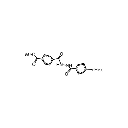 CCCCCCc1ccc(C(=O)NNC(=O)c2ccc(C(=O)OC)cc2)cc1